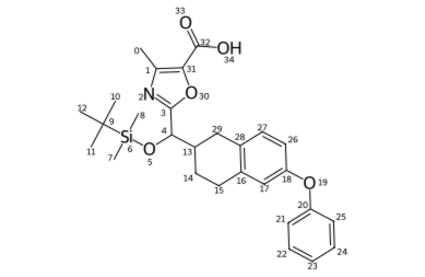 Cc1nc(C(O[Si](C)(C)C(C)(C)C)C2CCc3cc(Oc4ccccc4)ccc3C2)oc1C(=O)O